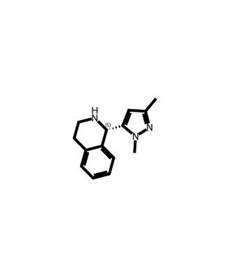 Cc1cc([C@H]2NCCc3ccccc32)n(C)n1